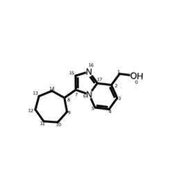 OCc1cccn2c(C3CCCCCC3)cnc12